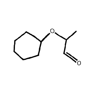 CC(C=O)OC1CCCCC1